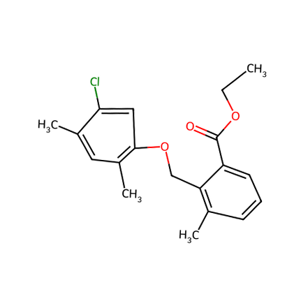 CCOC(=O)c1cccc(C)c1COc1cc(Cl)c(C)cc1C